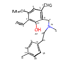 C=Cc1c(OC)cc(C=O)c(CN(C)CCc2ccc(C)cc2)c1O